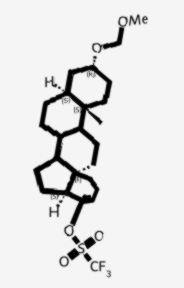 COCO[C@@H]1CC[C@]2(C)C3CC[C@]45CCC=C(OS(=O)(=O)C(F)(F)F)[C@H]4CCC5C3CC[C@H]2C1